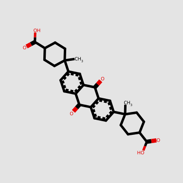 CC1(c2ccc3c(c2)C(=O)c2cc(C4(C)CCC(C(=O)O)CC4)ccc2C3=O)CCC(C(=O)O)CC1